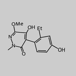 CCc1cc(O)ccc1-c1c(O)c(OC)nn(C)c1=O